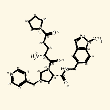 Cn1ncc2cc(CNC(=O)[C@@H]3C[C@@H](Cc4ccncc4)CN3C(=O)[C@H](N)CCC(=O)N3CCCC3)ccc21